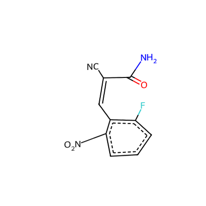 N#C/C(=C/c1c(F)cccc1[N+](=O)[O-])C(N)=O